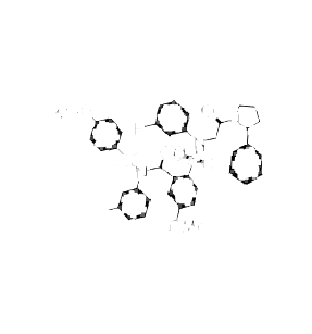 COc1ccc(S(=O)(=O)N(c2cccc(F)c2)C(C(=O)O)c2cc(OC)ccc2S(=O)(=O)N(CC(=O)N2CCCC2c2ccccc2)c2cccc(F)c2)cc1